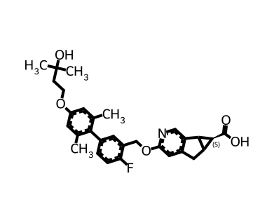 Cc1cc(OCCC(C)(C)O)cc(C)c1-c1ccc(F)c(COc2cc3c(cn2)C2C(C3)[C@@H]2C(=O)O)c1